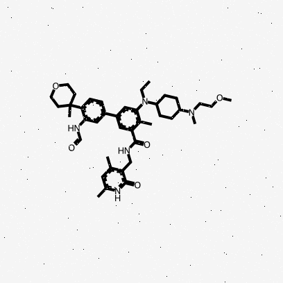 CCN(c1cc(-c2ccc(C3(C)CCOCC3)c(NC=O)c2)cc(C(=O)NCc2c(C)cc(C)[nH]c2=O)c1C)C1CCC(N(C)CCOC)CC1